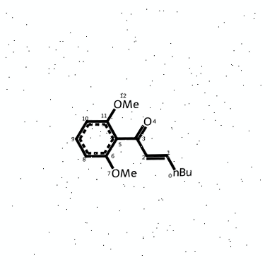 CCCCC=CC(=O)c1c(OC)cccc1OC